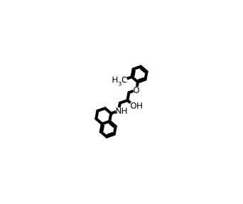 Cc1ccccc1OCC(O)CNC1CCCc2ccccc21